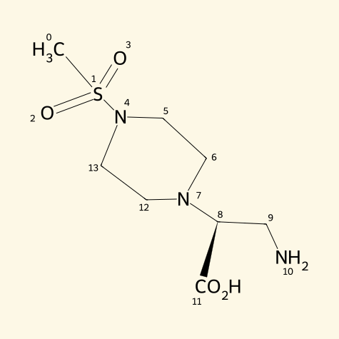 CS(=O)(=O)N1CCN([C@@H](CN)C(=O)O)CC1